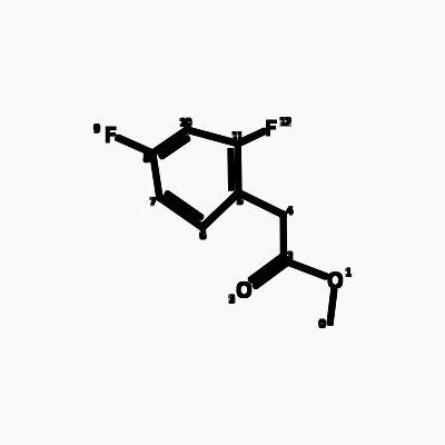 COC(=O)Cc1ccc(F)cc1F